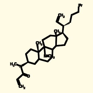 C=CC(=O)N(C)[C@H]1CC[C@@]2(C)C(CCC3C4CC[C@H]([C@H](C=C)CCCC(C)C)[C@@]4(C)CCC32N=C)C1